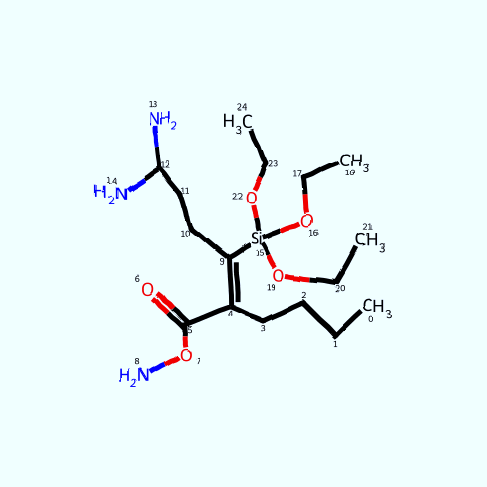 CCCCC(C(=O)ON)=C(CCC(N)N)[Si](OCC)(OCC)OCC